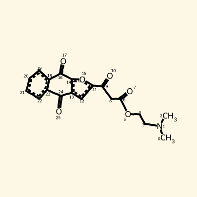 CN(C)CCOC(=O)CC(=O)c1cc2c(o1)C(=O)c1ccccc1C2=O